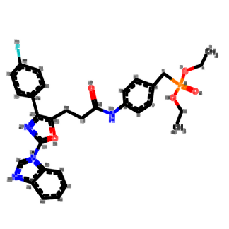 CCOP(=O)(Cc1ccc(NC(=O)CCc2oc(-n3cnc4ccccc43)nc2-c2ccc(F)cc2)cc1)OCC